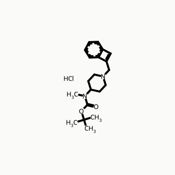 CN(C(=O)OC(C)(C)C)C1CCN(CC2=Cc3ccccc32)CC1.Cl